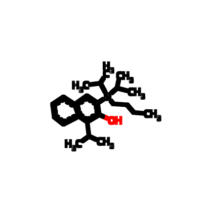 CCCC[Si](c1cc2ccccc2c(C(C)C)c1O)(C(C)C)C(C)C